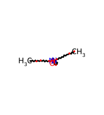 CCCCCCCCCCCCCCCCN1CCN(CCCCCCCCCCCCCCCC)P1(=O)c1ccccc1